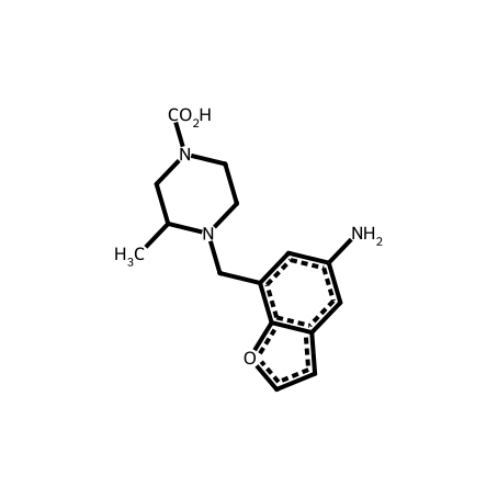 CC1CN(C(=O)O)CCN1Cc1cc(N)cc2ccoc12